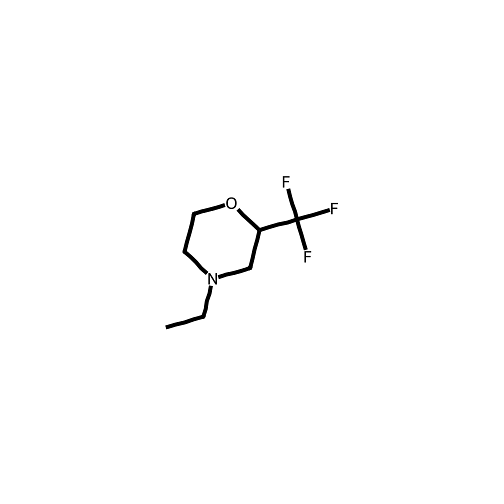 CCN1CCOC(C(F)(F)F)C1